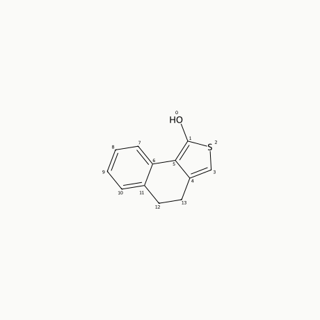 Oc1scc2c1-c1ccccc1CC2